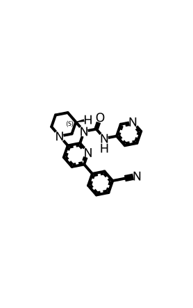 N#Cc1cccc(-c2ccc3c(n2)N(C(=O)Nc2cccnc2)[C@H]2CCCN3C2)c1